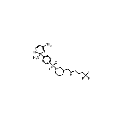 NC1=NC(N)(c2ccc(S(=O)(=O)N3CCCC(CNCCCC(F)(F)F)C3)cc2)NC=C1